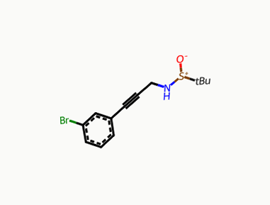 CC(C)(C)[S+]([O-])NCC#Cc1cccc(Br)c1